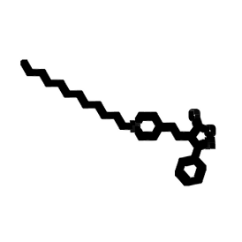 CCCCCCCCCCCCN1C=CC(=CC=C2C(=O)ON=C2c2ccccc2)C=C1